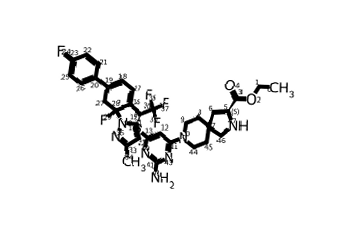 CCOC(=O)[C@@H]1CC2(CCN(c3cc(O[C@H](C4=CC=C(c5ccc(F)cc5)CC4(F)n4ccc(C)n4)C(F)(F)F)nc(N)n3)CC2)CN1